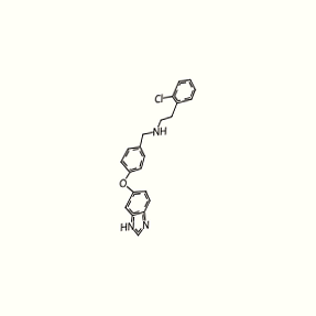 Clc1ccccc1CCNCc1ccc(Oc2ccc3nc[nH]c3c2)cc1